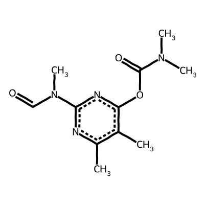 Cc1nc(N(C)C=O)nc(OC(=O)N(C)C)c1C